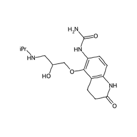 CC(C)NCC(O)COc1c(NC(N)=O)ccc2c1CCC(=O)N2